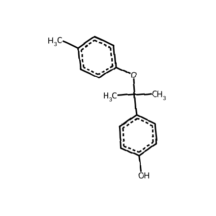 Cc1ccc(OC(C)(C)c2ccc(O)cc2)cc1